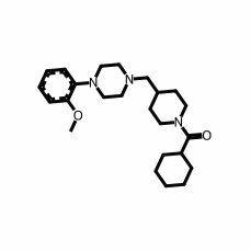 COc1ccccc1N1CCN(CC2CCN(C(=O)C3CCCCC3)CC2)CC1